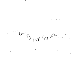 COC(=O)c1ccc(C(=O)O[C@H]2COC3C2OC[C@H]3OC(=O)c2ccc(C(=O)O[C@@H]3COC4C3OC[C@@H]4OC(=O)c3ccc(C(=O)O)o3)o2)o1